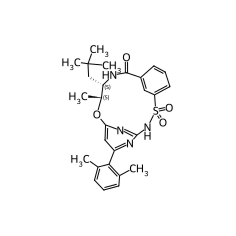 Cc1cccc(C)c1-c1cc2nc(n1)NS(=O)(=O)c1cccc(c1)C(=O)N[C@@H](CC(C)(C)C)[C@H](C)O2